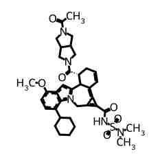 COc1ccc(C2CCCCC2)c2c1cc1n2CC2=C(C(=O)NS(=O)(=O)N(C)C)C2=C2C=CC[C@@H](C(=O)N3CC4CN(C(C)=O)CC4C3)C21